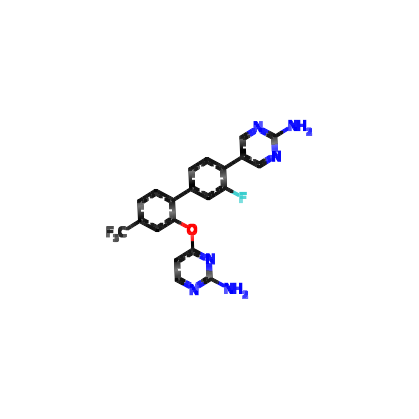 Nc1ncc(-c2ccc(-c3ccc(C(F)(F)F)cc3Oc3ccnc(N)n3)cc2F)cn1